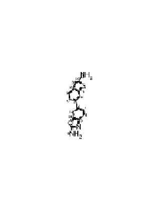 Nc1nc2ccc(-c3ccc4nc(N)sc4c3)cc2o1